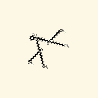 CCCCCCCCCCN(CCCCCCCCCC)C(=O)CCCCCCCN(CCCCCCCC(=O)N(CCCCCCCCCC)CCCCCCCCCC)CC1CCCCC1O